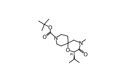 CC(C)[C@H]1OC2(CCN(C(=O)OC(C)(C)C)CC2)CN(C)C1=O